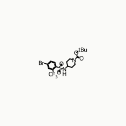 CC(C)(C)OC(=O)N1CCC(NS(=O)(=O)c2ccc(Br)cc2C(F)(F)F)CC1